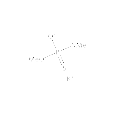 CNP([O-])(=S)OC.[K+]